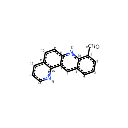 O=Cc1cccc2cc3c(ccc4cccnc43)nc12